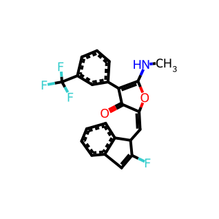 CNC1=C(c2cccc(C(F)(F)F)c2)C(=O)C(=CC2C(F)=Cc3ccccc32)O1